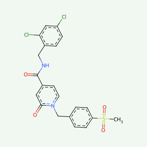 CS(=O)(=O)c1ccc(Cn2ccc(C(=O)NCc3ccc(Cl)cc3Cl)cc2=O)cc1